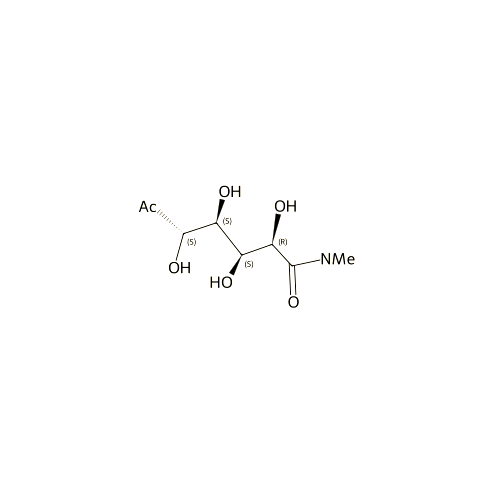 CNC(=O)[C@H](O)[C@@H](O)[C@H](O)[C@H](O)C(C)=O